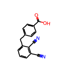 N#Cc1cccc(Cc2ccc(C(=O)O)cc2)c1C#N